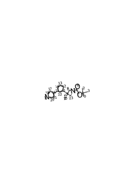 CC(C)(C)OC(=O)N1CC(F)(c2cccc(-c3ccncc3)c2)C1